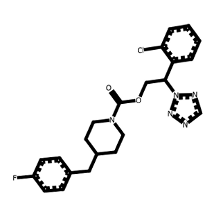 O=C(OCC(c1ccccc1Cl)n1ncnn1)N1CCC(Cc2ccc(F)cc2)CC1